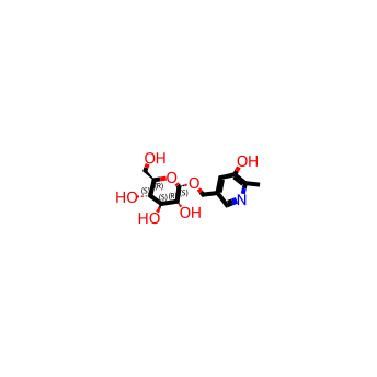 Cc1ncc(CO[C@H]2O[C@H](CO)[C@@H](O)[C@H](O)[C@H]2O)cc1O